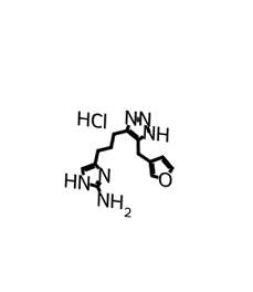 Cl.Nc1nc(CCCc2nn[nH]c2Cc2ccoc2)c[nH]1